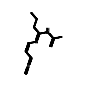 C=C=C/C=C\N=C(/CCC)NC(=C)C